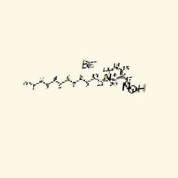 CCCCCCCCCCCC[n+]1cccc(C=NO)c1.[Br-]